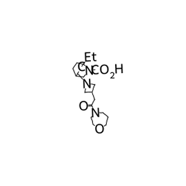 CCC12CCC(CN1C(=O)O)C(N1CC(CC(=O)N3CCCOCC3)C1)C2